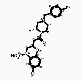 C[C@@H]1CN(Cc2ccc(F)cc2)CCN1C(=O)CC1CN(C(=O)O)c2cc(Cl)ccc2O1